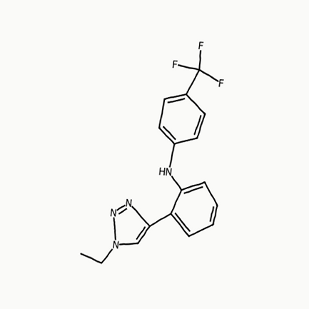 CCn1cc(-c2ccccc2Nc2ccc(C(F)(F)F)cc2)nn1